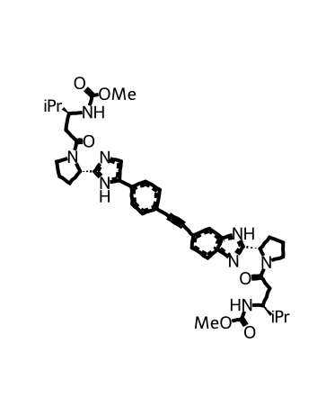 COC(=O)N[C@@H](CC(=O)N1CCC[C@H]1c1ncc(-c2ccc(C#Cc3ccc4nc([C@@H]5CCCN5C(=O)C[C@H](NC(=O)OC)C(C)C)[nH]c4c3)cc2)[nH]1)C(C)C